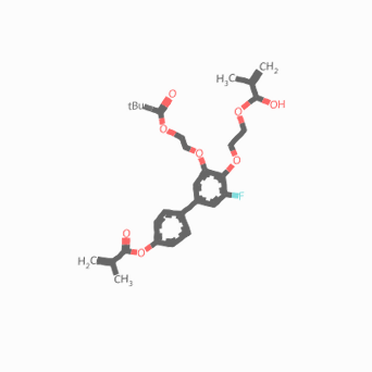 C=C(C)C(=O)Oc1ccc(-c2cc(F)c(OCCOC(O)C(=C)C)c(OCCOC(=O)C(C)(C)C)c2)cc1